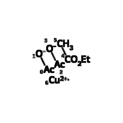 CC(=O)[O-].CC(=O)[O-].CCOC(C)=O.[Cu+2]